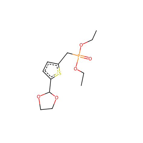 CCOP(=O)(Cc1ccc(C2OCCO2)s1)OCC